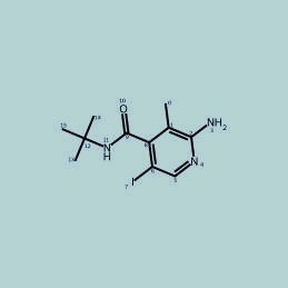 Cc1c(N)ncc(I)c1C(=O)NC(C)(C)C